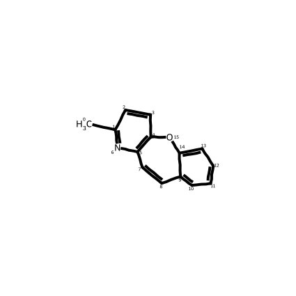 Cc1ccc2c(n1)C=Cc1ccccc1O2